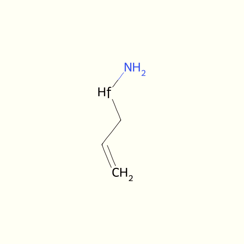 C=C[CH2][Hf][NH2]